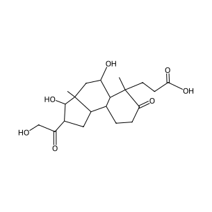 CC1(CCC(=O)O)C(=O)CCC2C1C(O)CC1(C)C(O)C(C(=O)CO)CC21